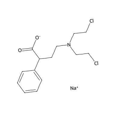 O=C([O-])C(CCN(CCCl)CCCl)c1ccccc1.[Na+]